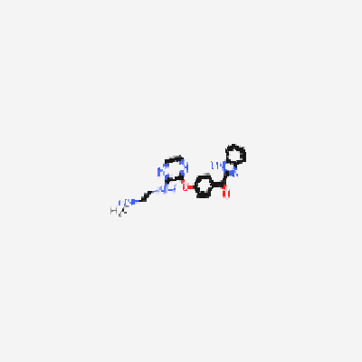 CNCCNc1nccnc1Oc1ccc(C(=O)c2nc3ccccc3[nH]2)cc1